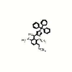 COCc1ccc(OC)c(C(O)c2cn(C(c3ccccc3)(c3ccccc3)c3ccccc3)cn2)c1OC